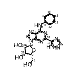 OC[C@H]1O[C@@H](n2cnc3c(Nc4ccccc4)nc(-c4nnn[nH]4)nc32)[C@@H](O)[C@H]1O